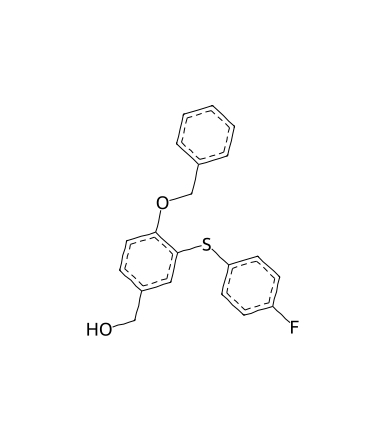 OCc1ccc(OCc2ccccc2)c(Sc2ccc(F)cc2)c1